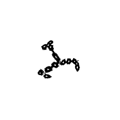 c1ccc(N(c2ccccc2)c2ccc(-c3ccc(N(c4ccc(-c5ccc(-c6ccc7sc8ccccc8c7c6)cc5)cc4)c4ccc(-c5ccc6c7ccccc7c7ccccc7c6c5)cc4)cc3)cc2)cc1